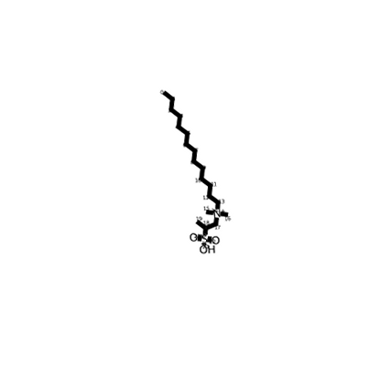 CCCCCCCCCCCCCC[N+](C)(C)CC(C)S(=O)(=O)O